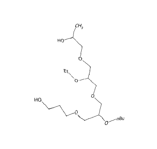 CCCCOC(COCCCO)COCC(COCC(C)O)OCC